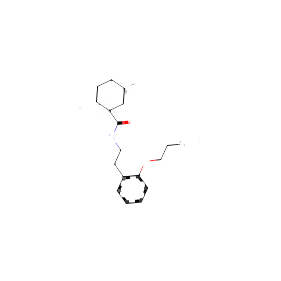 CC(=O)NCCOc1ccccc1CCNC(=O)[C@]1(O)C[C@H](C)CC[C@H]1C(C)C